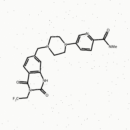 CNC(=O)c1ccc(N2CCN(Cc3ccc4c(=O)n(CC(F)(F)F)c(=O)[nH]c4c3)CC2)cn1